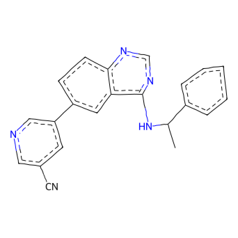 CC(Nc1ncnc2ccc(-c3cncc(C#N)c3)cc12)c1ccccc1